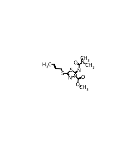 CC=CCSc1nn(C(=O)OC)c(=NC(=O)N(C)C)s1